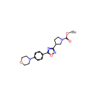 CC(C)(C)OC(=O)N1CCC(c2noc(-c3ccc(N4CCOCC4)cc3)n2)C1